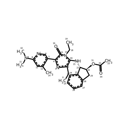 CCc1nc(-c2cnc(N(C)C)cc2C)c(=O)n(CC)c1N[C@H]1c2ccccc2C[C@@H]1OC(C)=O